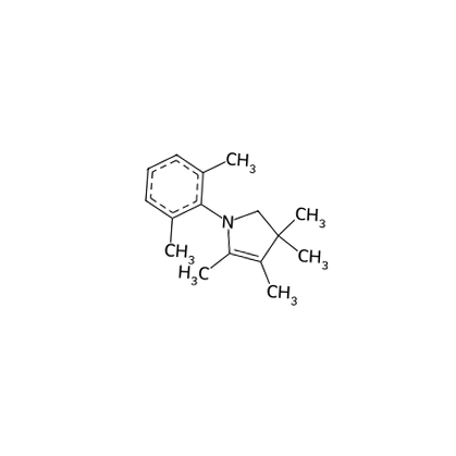 CC1=C(C)C(C)(C)CN1c1c(C)cccc1C